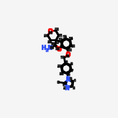 Cc1nccn1-c1ccc(COc2cccc(C3(C(N)=O)CCOCC3)c2)cc1